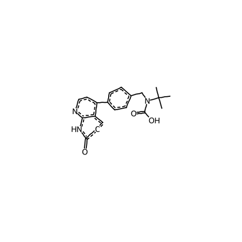 CC(C)(C)N(Cc1ccc(-c2ccnc3[nH]c(=O)ccc23)cc1)C(=O)O